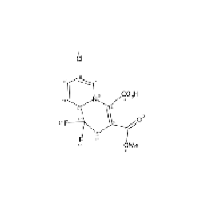 COC(=O)C1=C(C(=O)O)N2C=C(Cl)C=CC2C(F)(F)S1